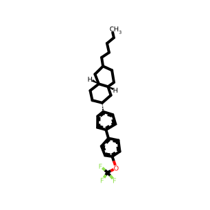 CCCCCC1CC[C@@H]2C[C@H](c3ccc(-c4ccc(OC(F)(F)F)cc4)cc3)CC[C@@H]2C1